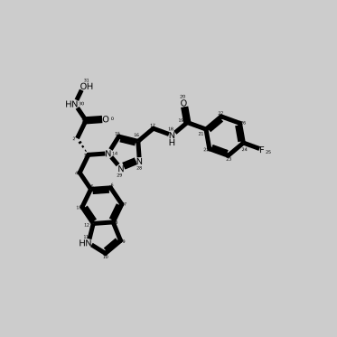 O=C(C[C@@H](Cc1ccc2cc[nH]c2c1)n1cc(CNC(=O)c2ccc(F)cc2)nn1)NO